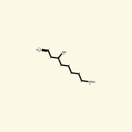 C=CCC(O)CCCCCCCCCCC